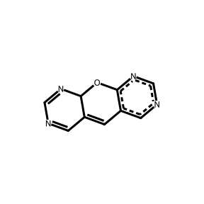 C1=NC=NC2Oc3ncncc3C=C12